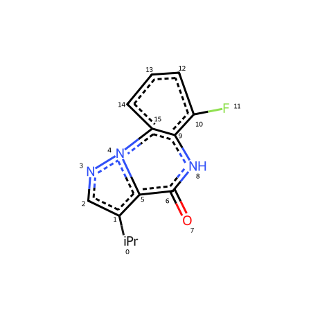 CC(C)c1cnn2c1c(=O)[nH]c1c(F)cccc12